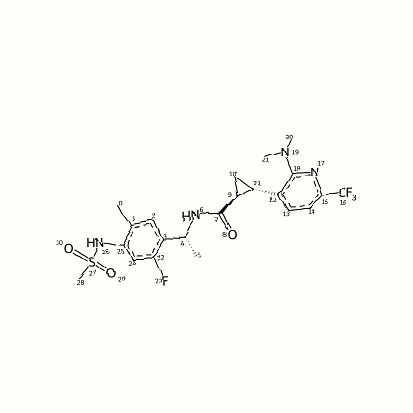 Cc1cc([C@@H](C)NC(=O)[C@H]2C[C@@H]2c2ccc(C(F)(F)F)nc2N(C)C)c(F)cc1NS(C)(=O)=O